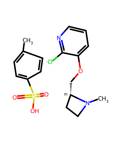 CN1CC[C@@H]1COc1cccnc1Cl.Cc1ccc(S(=O)(=O)O)cc1